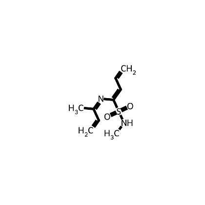 C=C/C=C(\N=C(\C)C=C)S(=O)(=O)NC